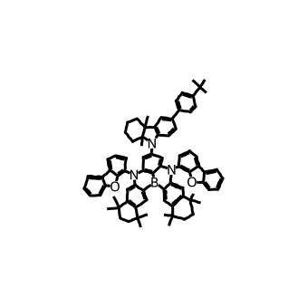 CC(C)(C)c1ccc(-c2ccc3c(c2)C2(C)CCCCC2(C)N3c2cc3c4c(c2)N(c2cccc5c2oc2ccccc25)c2cc5c(cc2B4c2cc4c(cc2N3c2cccc3c2oc2ccccc23)C(C)(C)CCC4(C)C)C(C)(C)CCC5(C)C)cc1